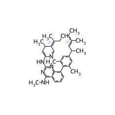 CC/C(C)=C1\C=NC(Nc2nc(NC)c3cccc(-c4c(C)cc(C(C)/C=C(\C)CC)cc4C)c3n2)=CC1C